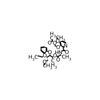 CCCO[C@@H](COC)[C@@H](Oc1ccccc1)[C@H](C)OC(=O)[C@@H](C)NC(=O)c1nccc(OC)c1OCOC(C)=O